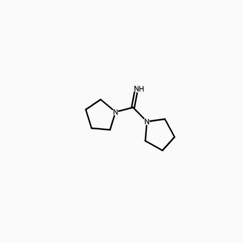 N=C(N1CCCC1)N1CCCC1